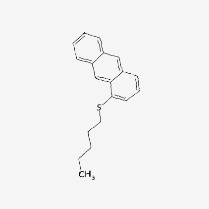 CCCCCSc1cccc2cc3ccccc3cc12